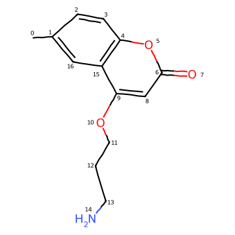 Cc1ccc2oc(=O)cc(OCCCN)c2c1